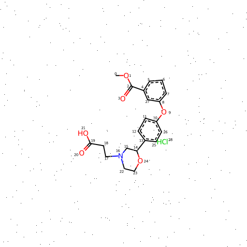 COC(=O)c1cccc(Oc2ccc(C3CN(CCC(=O)O)CCO3)cc2)c1.Cl